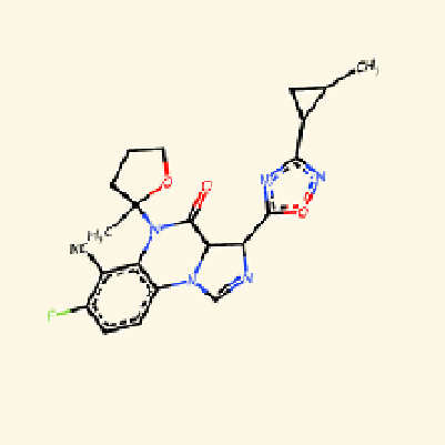 CC1CC1c1noc(C2N=CN3c4ccc(F)c(C#N)c4N(C4(C)CCCO4)C(=O)C23)n1